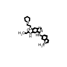 C=CC(=O)Nc1cc2c(Nc3ccc4ccn(C)c4c3)ncnc2cc1OCCN1CCCCC1